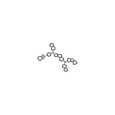 c1ccc2cc(N(c3ccc(-c4nc5ccccc5s4)cc3)c3ccc4c(ccc5cc(N(c6ccc7ccccc7c6)c6ccc7oc8ccccc8c7c6)ccc54)c3)ccc2c1